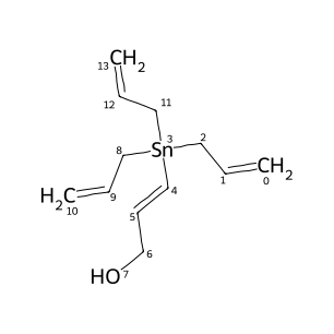 C=C[CH2][Sn]([CH]=CCO)([CH2]C=C)[CH2]C=C